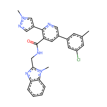 Cc1cc(Cl)cc(-c2cnc(-c3cnn(C)c3)c(C(=O)NCc3nc4ccccc4n3C)c2)c1